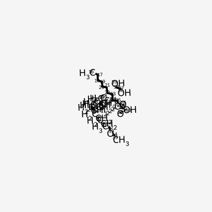 C=C.C=C.C=C.C=C.C=C.C=C.C=C.C=C.CCCCCCCCCCOS(=O)(=O)O.CCOCC.OCCO